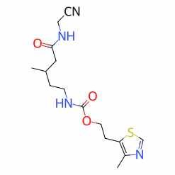 Cc1ncsc1CCOC(=O)NCCC(C)CC(=O)NCC#N